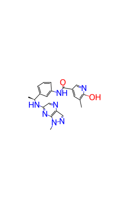 Cc1cc(C(=O)Nc2cccc([C@H](C)Nc3cnc4cnn(C)c4n3)c2)cnc1O